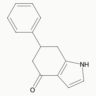 O=C1CC(c2ccccc2)Cc2[nH]ccc21